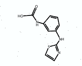 O=C(O)Nc1cccc(Nc2nccs2)c1